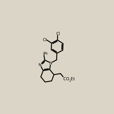 CCOC(=O)CC1CCCc2nc(C(C)C)n(Cc3ccc(Cl)c(Cl)c3)c21